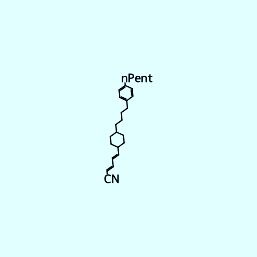 CCCCCc1ccc(CCCCC2CCC(C=CC=CC#N)CC2)cc1